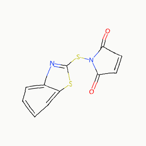 O=C1C=CC(=O)N1Sc1nc2ccccc2s1